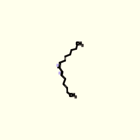 CCCCC/C=C/[C]=C\CCCCCC